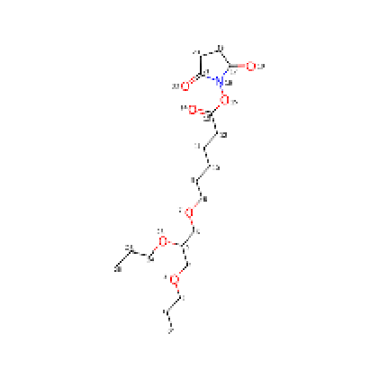 CCCOCC(COCCCCCC(=O)ON1C(=O)CCC1=O)OCCC